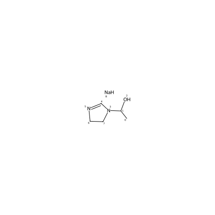 CC(O)N1C=NCC1.[NaH]